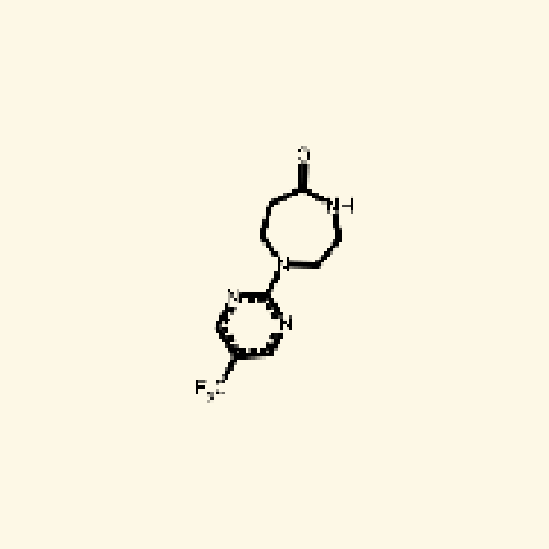 O=C1CCN(c2ncc(C(F)(F)F)cn2)CCN1